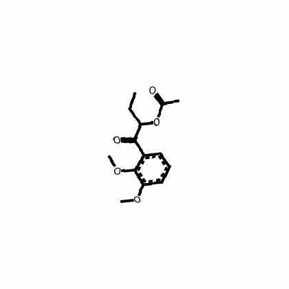 CCC(OC(C)=O)C(=O)c1cccc(OC)c1OC